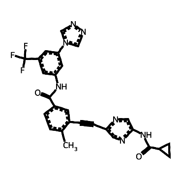 Cc1ccc(C(=O)Nc2cc(-n3cnnc3)cc(C(F)(F)F)c2)cc1C#Cc1cnc(NC(=O)C2CC2)cn1